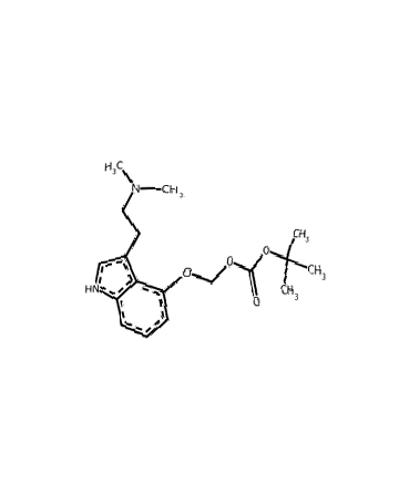 CN(C)CCc1c[nH]c2cccc(OCOC(=O)OC(C)(C)C)c12